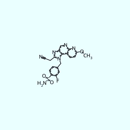 COc1ccc2c(ncc3nc(CC#N)n(Cc4ccc(S(N)(=O)=O)c(F)c4)c32)n1